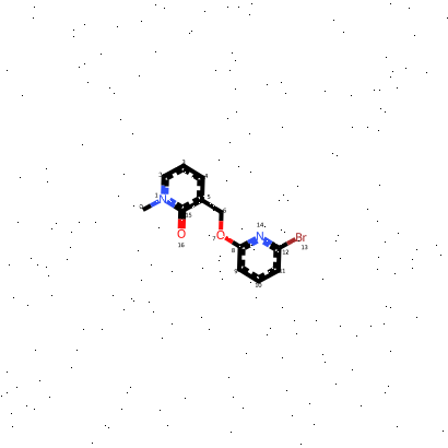 Cn1cccc(COc2cccc(Br)n2)c1=O